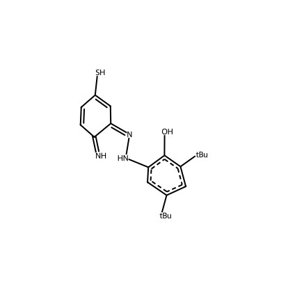 CC(C)(C)c1cc(N/N=C2/C=C(S)C=CC2=N)c(O)c(C(C)(C)C)c1